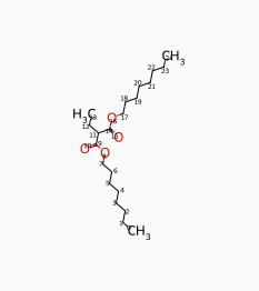 CCCCCCCCOC(=O)C(CC)C(=O)OCCCCCCCC